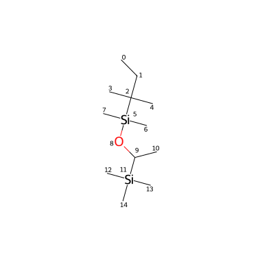 CCC(C)(C)[Si](C)(C)OC(C)[Si](C)(C)C